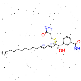 CCCCCCCCC/C=C/C=C/[C@@H](SCCC(N)=O)[C@@H](O)c1cccc(C(N)=O)c1